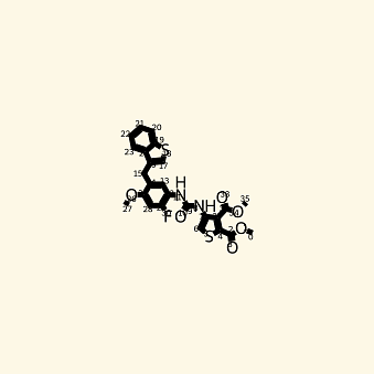 COC(=O)c1scc(NC(=O)Nc2cc(Cc3csc4ccccc34)c(OC)cc2F)c1C(=O)OC